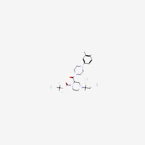 CCC(C)(C)N1CCN(C(=O)OC(C)(C)C)C(C(=O)N2CCN(c3ccc(Cl)c(Cl)c3)CC2)C1